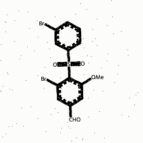 COc1cc(C=O)cc(Br)c1S(=O)(=O)c1cccc(Br)c1